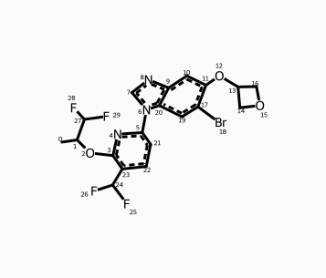 CC(Oc1nc(-n2cnc3cc(OC4COC4)c(Br)cc32)ccc1C(F)F)C(F)F